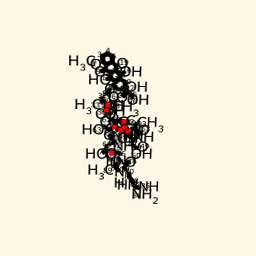 COc1cccc2c1C(=O)c1c(O)c3c(c(O)c1C2=O)C[C@@](O)(C(=O)CO)C[C@@H]3O[C@@H](C[C@@H](C)NC(=O)OCc1ccc(NC(=O)[C@H](CC(=O)O)NC(=O)[C@@H](NC(=O)[C@H](CCC(=O)O)NC(=O)[C@H](CC(=O)O)NC(=O)CNC(=O)[C@H](CCCNC(=N)N)NC(C)=O)C(C)C)cc1)O[C@@H](C)CO